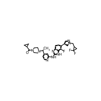 CC(c1ccnc(Nc2nc3ccc(-c4cnn(CC5CC5(F)F)c4)c(F)c3[nH]2)c1)N1CCN(C(=O)C2CC2)CC1